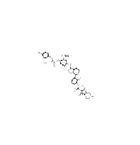 COc1cc(OC2CCc3c(-c4cccc(NC(=O)c5nc6c(n5C)CCN(C)C6)c4Cl)cccc32)c(Cl)cc1CNC(Cc1ccc(F)cc1)C(=O)O